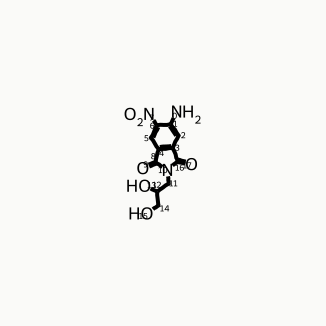 Nc1cc2c(cc1[N+](=O)[O-])C(=O)N(CC(O)CO)C2=O